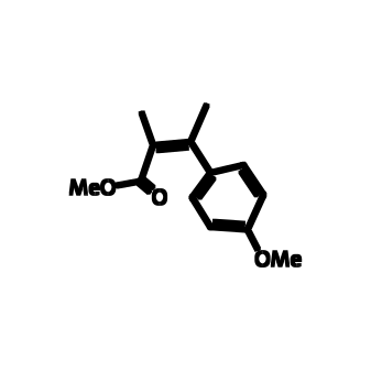 COC(=O)/C(C)=C(/C)c1ccc(OC)cc1